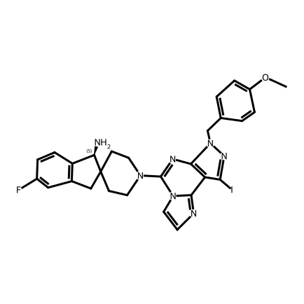 COc1ccc(Cn2nc(I)c3c2nc(N2CCC4(CC2)Cc2cc(F)ccc2[C@H]4N)n2ccnc32)cc1